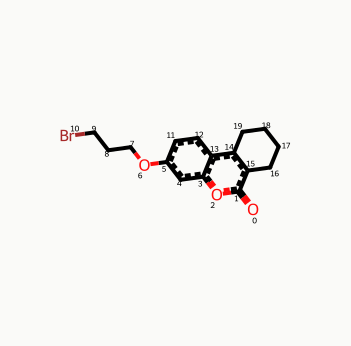 O=c1oc2cc(OCCCBr)ccc2c2c1CCCC2